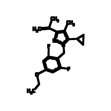 C=C(C)c1nn(Cc2c(F)cc(OCC)cc2F)c(C2CC2)c1C